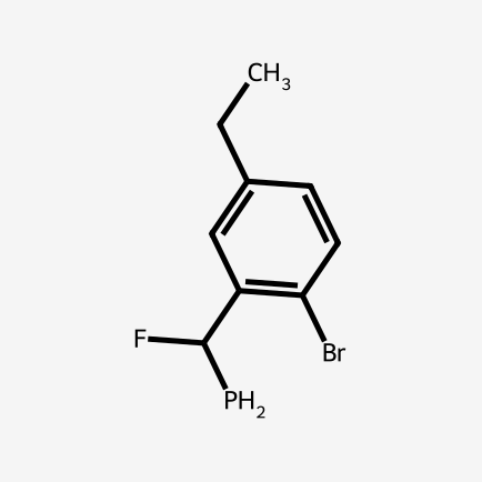 CCc1ccc(Br)c(C(F)P)c1